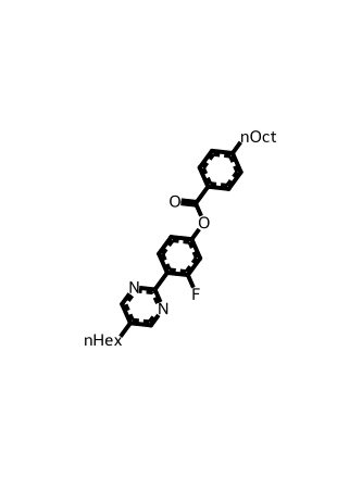 CCCCCCCCc1ccc(C(=O)Oc2ccc(-c3ncc(CCCCCC)cn3)c(F)c2)cc1